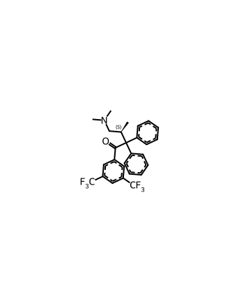 C[C@H](CN(C)C)C(C(=O)c1cc(C(F)(F)F)cc(C(F)(F)F)c1)(c1ccccc1)c1ccccc1